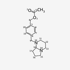 CC(=O)OCc1ccc(CN2CCCN3CCCC32)cc1